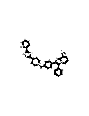 Cc1cccn2c(-c3ccccc3)c(-c3ccc(CN4CCC(c5n[nH]c(-c6ccccn6)n5)CC4)cc3)nc12